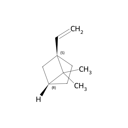 C=C[C@]12CC[C@H](C1)C2(C)C